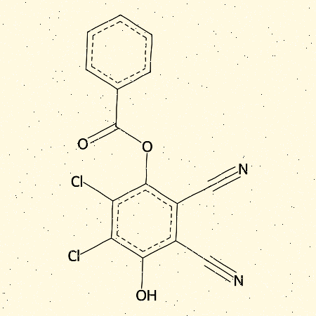 N#Cc1c(O)c(Cl)c(Cl)c(OC(=O)c2ccccc2)c1C#N